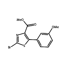 COC(=O)c1nc(Br)sc1-c1cccc(OC)c1